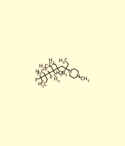 CCC(C)(CC(C)(CC)C(C)(CC)C(F)(F)C(C)(CC)C(F)(F)F)N1CCN(C)CC1